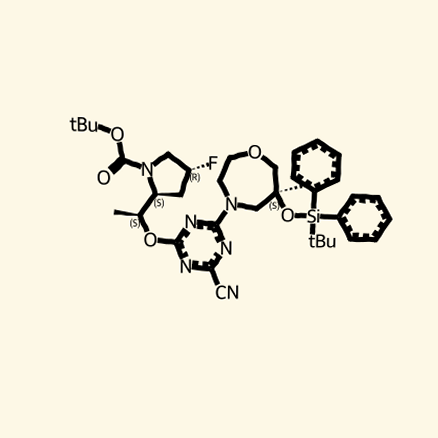 C[C@H](Oc1nc(C#N)nc(N2CCOC[C@@](C)(O[Si](c3ccccc3)(c3ccccc3)C(C)(C)C)C2)n1)[C@@H]1C[C@@H](F)CN1C(=O)OC(C)(C)C